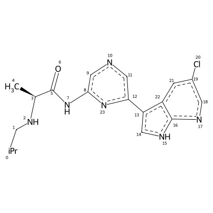 CC(C)CN[C@@H](C)C(=O)Nc1cncc(-c2c[nH]c3ncc(Cl)cc23)n1